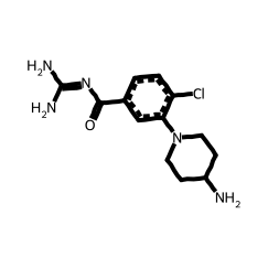 NC(N)=NC(=O)c1ccc(Cl)c(N2CCC(N)CC2)c1